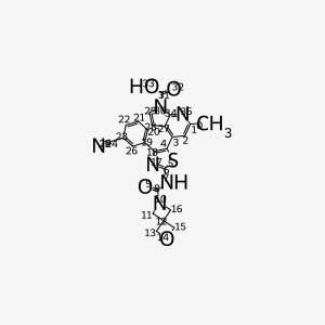 Cc1cc(-c2sc(NC(=O)N3CC4(COC4)C3)nc2-c2cccc(C#N)c2)c2ccn(C(=O)O)c2n1